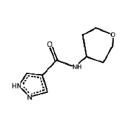 O=C(NC1CCOCC1)c1cn[nH]c1